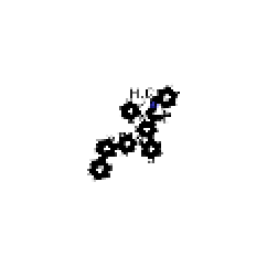 C/C1=C\c2c(c3cc4c5ccccc5n(-c5ccc(-c6cccc(-c7ccccc7)c6)cc5)c4cc3n2-c2ccccc2)CSc2ccccc21